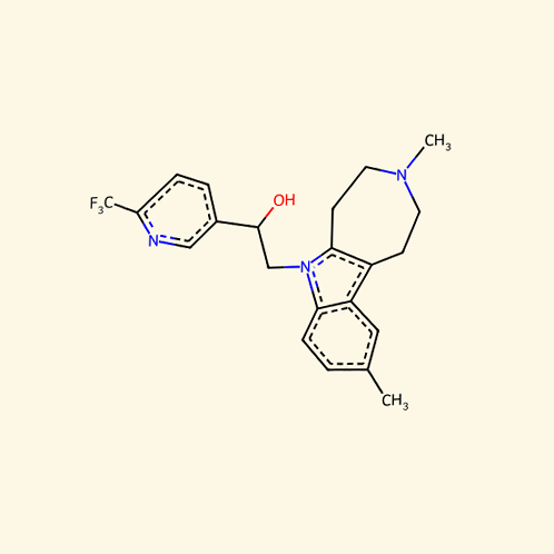 Cc1ccc2c(c1)c1c(n2CC(O)c2ccc(C(F)(F)F)nc2)CCN(C)CC1